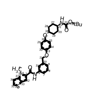 Cn1c(C(=O)Nc2cccc(COc3ccc(O[C@H]4CC[C@H](NC(=O)OC(C)(C)C)CC4)cc3)c2)cc2sccc21